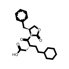 O=C(O)C[C@@H](CCC1CCCCC1)C(=O)N1C(=O)OC[C@@H]1Cc1ccccc1